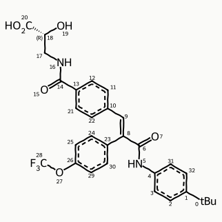 CC(C)(C)c1ccc(NC(=O)C(=Cc2ccc(C(=O)NC[C@@H](O)C(=O)O)cc2)c2ccc(OC(F)(F)F)cc2)cc1